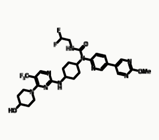 COc1ncc(-c2ccc(N(C(=O)NCC(F)F)C3CCC(Nc4ncc(C(F)(F)F)c(N5CCC(O)CC5)n4)CC3)nc2)cn1